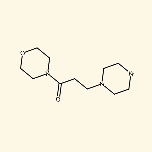 O=C(CCN1CC[N]CC1)N1CCOCC1